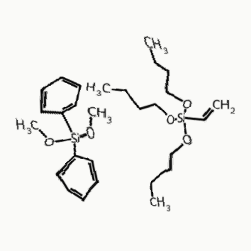 C=C[Si](OCCCC)(OCCCC)OCCCC.CO[Si](OC)(c1ccccc1)c1ccccc1